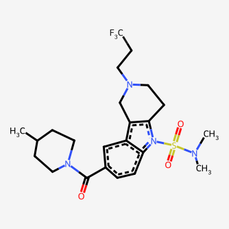 CC1CCN(C(=O)c2ccc3c(c2)c2c(n3S(=O)(=O)N(C)C)CCN(CCC(F)(F)F)C2)CC1